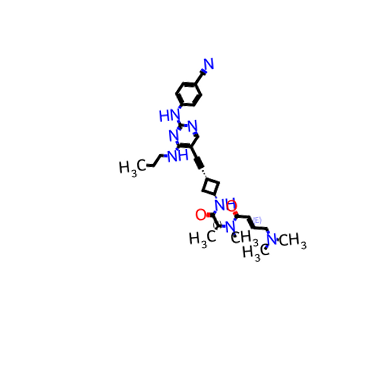 CCCNc1nc(Nc2ccc(C#N)cc2)ncc1C#C[C@H]1C[C@@H](NC(=O)[C@H](C)N(C)C(=O)/C=C/CN(C)C)C1